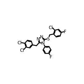 Fc1ccc(-n2c(Cc3ccc(Cl)c(Cl)c3)nnc2SCc2ccc(F)cc2Cl)cc1